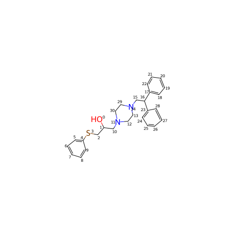 OC(CSc1ccccc1)CN1CCN(CC(c2ccccc2)c2ccccc2)CC1